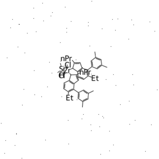 CCCC1=Cc2c(ccc(CC)c2-c2cc(C)cc(C)c2)[CH]1[Zr]([Cl])([Cl])([CH]1C(CCC)=Cc2c1ccc(CC)c2-c1cc(C)cc(C)c1)[SiH](C)C